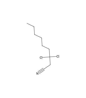 CCCCCCC(Cl)(Cl)CC#N